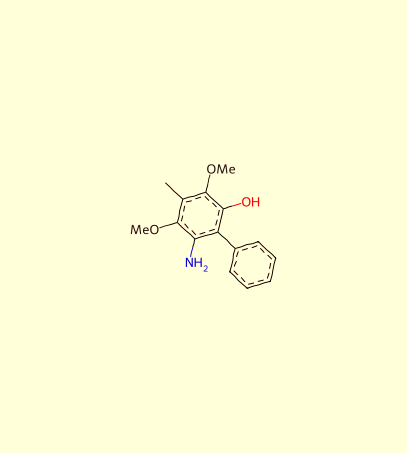 COc1c(C)c(OC)c(O)c(-c2ccccc2)c1N